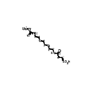 CC(C)(C)OC(=O)NCCOCCOCCNC(=O)CCS(=O)(=O)O